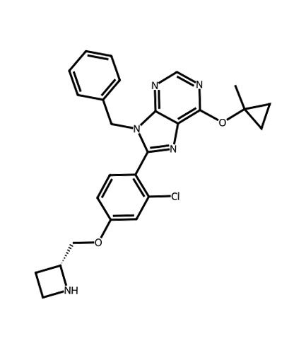 CC1(Oc2ncnc3c2nc(-c2ccc(OC[C@H]4CCN4)cc2Cl)n3Cc2ccccc2)CC1